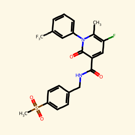 Cc1c(F)cc(C(=O)NCc2ccc(S(C)(=O)=O)cc2)c(=O)n1-c1cccc(C(F)(F)F)c1